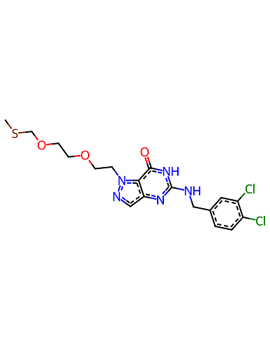 CSCOCCOCCn1ncc2nc(NCc3ccc(Cl)c(Cl)c3)[nH]c(=O)c21